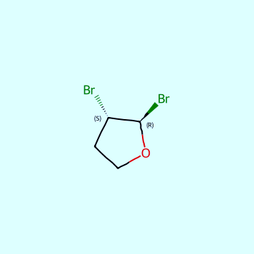 Br[C@H]1CCO[C@@H]1Br